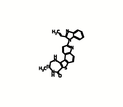 C=Cc1nc2ccccc2n1-c1ccc2c(ccc3sc4c(c32)NC[C@@H](C)NC4=O)n1